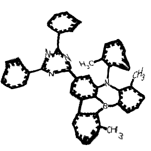 Cc1ccccc1N1c2cc(-c3nc(-c4ccccc4)nc(-c4ccccc4)n3)cc3c2B(c2cccc(C)c21)c1c(C)cccc1-3